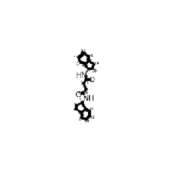 O=C(CCC(=O)N[C@@H]1CCc2ccccc21)N[C@@H]1CCc2ccccc21